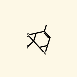 IC1=CC2SC2C2(I)SC12